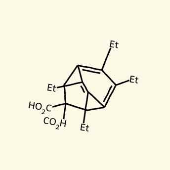 CCc1c(CC)c2c(CC)c(CC)c1CC(C(=O)O)(C(=O)O)C2